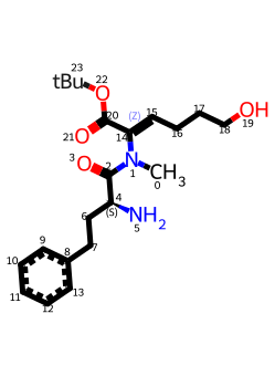 CN(C(=O)[C@@H](N)CCc1ccccc1)/C(=C\CCCO)C(=O)OC(C)(C)C